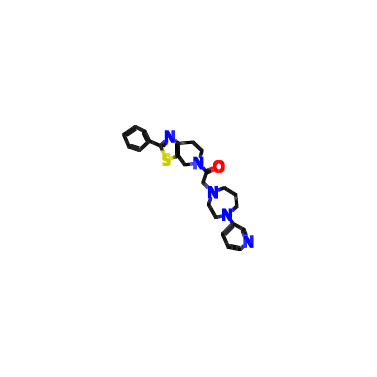 O=C(CN1CCCN(c2cccnc2)CC1)N1CCc2nc(-c3ccccc3)sc2C1